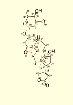 COC1C[C@H](O[C@H]2CC[C@]3(C=O)C4CC[C@]5(C)[C@@H](C6=CC(=O)OC6)CC[C@]5(O)C4CC[C@@H]3C2)OC(C)[C@H]1O